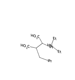 CC(C)CC(C(=O)O)C(C(=O)O)C(C)C.CCNCC